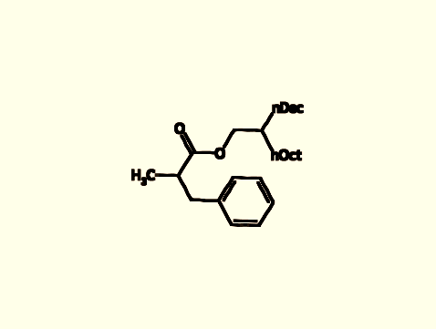 CCCCCCCCCCC(CCCCCCCC)COC(=O)C(C)Cc1ccccc1